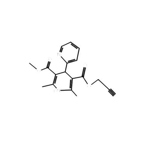 C#CCOC(=O)C1=C(C)NC(C)=C(C(=O)OC)C1c1ccccn1